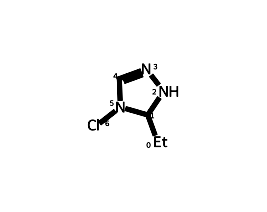 CCC1NN=CN1Cl